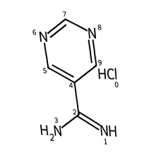 Cl.N=C(N)c1cncnc1